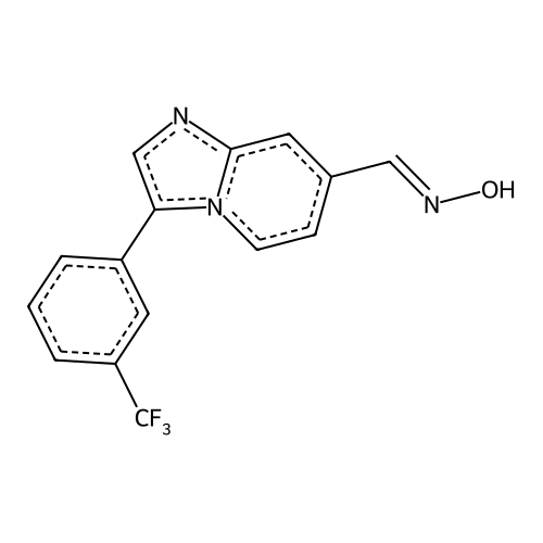 ON=Cc1ccn2c(-c3cccc(C(F)(F)F)c3)cnc2c1